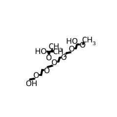 C=C(C)C(=O)O.COC(O)COCCOCCOCCOCCOCCO